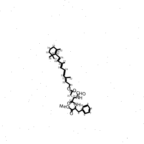 COC(=O)C(Cc1ccccc1)NC(=O)[C@H](CC(=O)OC/C=C(C)/C=C/C=C(C)/C=C/C1=C(C)CCCC1(C)C)NC=O